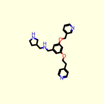 c1cncc(COc2cc(CNCC3CCNC3)cc(OCCc3ccncc3)c2)c1